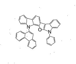 c1ccc(-n2c3ccccc3c3c4ccc5c6ccccc6n(-c6cc7ccccc7c7ccccc67)c5c4oc32)cc1